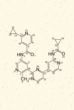 Cc1ncc(NC(=O)c2ccnc(C3CC3)c2)cc1-c1nccc(-c2ccnc(NC(=O)C3CC3)c2)n1